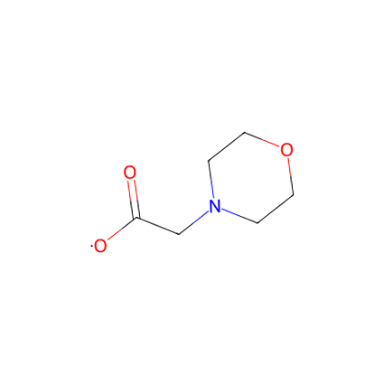 [O]C(=O)CN1CCOCC1